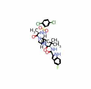 C[C@H](NS(=O)(=O)c1cc(Cl)ccc1Cl)C(=O)N1C[C@@H]2C[C@H]1CN2C(=O)[C@@H](NC(=O)c1cc2cc(F)ccc2[nH]1)C(C)(C)C